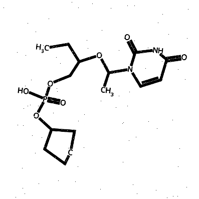 CCC(COP(=O)(O)OC1CCCC1)OC(C)n1ccc(=O)[nH]c1=O